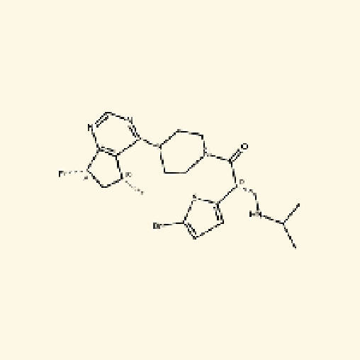 CC(C)NC[C@@H](C(=O)N1CCN(c2ncnc3c2[C@H](C)C[C@@H]3F)CC1)c1ccc(Br)s1